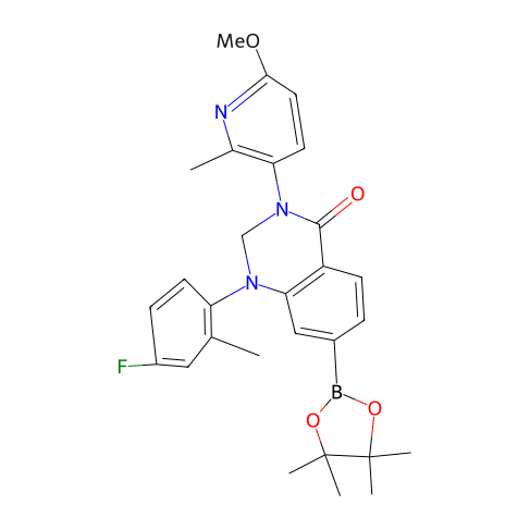 COc1ccc(N2CN(c3ccc(F)cc3C)c3cc(B4OC(C)(C)C(C)(C)O4)ccc3C2=O)c(C)n1